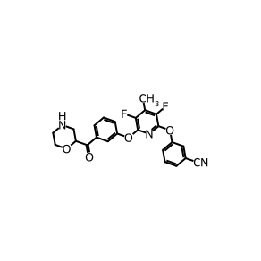 Cc1c(F)c(Oc2cccc(C#N)c2)nc(Oc2cccc(C(=O)C3CNCCO3)c2)c1F